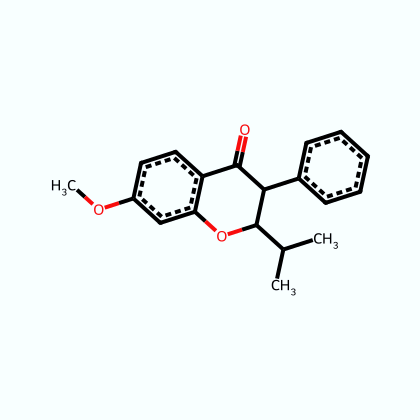 COc1ccc2c(c1)OC(C(C)C)C(c1ccccc1)C2=O